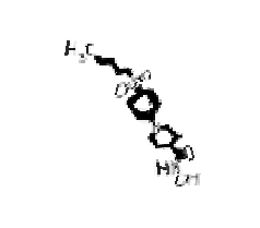 CCCCCS(=O)(=O)c1ccc(N2CCC(C(=O)NO)CC2)cc1